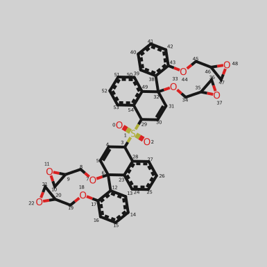 O=S(=O)(C1C=CC(OCC2CO2)(c2ccccc2OCC2CO2)c2ccccc21)C1C=CC(OCC2CO2)(c2ccccc2OCC2CO2)c2ccccc21